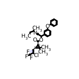 CC1(C)[C@H](C(=O)OC(C#N)c2cccc(Oc3ccccc3)c2)[C@@H]1/C=C(\Cl)C(F)(F)F.CCCC